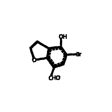 O=Cc1cc(Br)c(O)c2c1OCC2